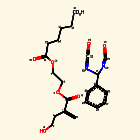 C=C(CCO)C(=O)OCCOC(=O)CCCCC(=O)O.O=C=NC(N=C=O)c1ccccc1